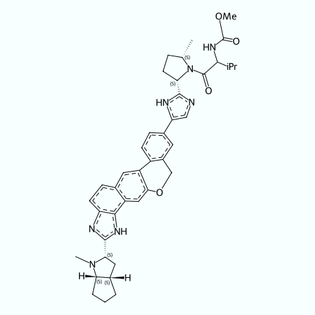 COC(=O)NC(C(=O)N1[C@@H](C)CC[C@H]1c1ncc(-c2ccc3c(c2)COc2cc4c(ccc5nc([C@@H]6C[C@@H]7CCC[C@@H]7N6C)[nH]c54)cc2-3)[nH]1)C(C)C